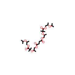 CC(C)OC(C)COC(=O)C(C)(C)OC(C)COC(=O)CCC(=O)OCC(C)OC(C)(C)C(=O)OCC(C)OC(C)C